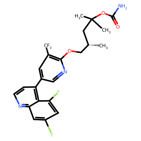 C[C@H](COc1ncc(-c2ccnc3cc(F)cc(F)c23)cc1C(F)(F)F)CC(C)(C)OC(N)=O